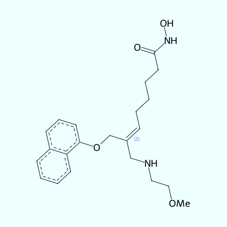 COCCNC/C(=C/CCCCC(=O)NO)COc1cccc2ccccc12